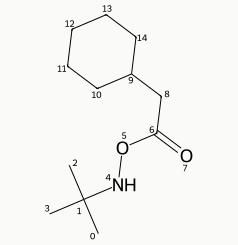 CC(C)(C)NOC(=O)CC1CCCCC1